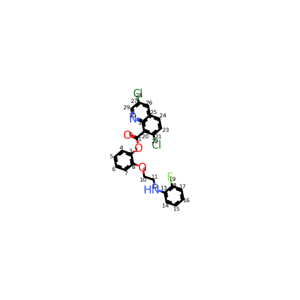 O=C(Oc1ccccc1OCCNc1ccccc1F)c1c(Cl)ccc2cc(Cl)cnc12